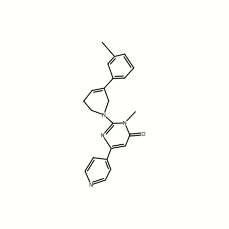 Cc1cccc(C2=CCCN(c3nc(-c4ccncc4)cc(=O)n3C)C2)c1